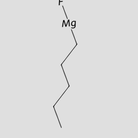 CCCC[CH2][Mg][F]